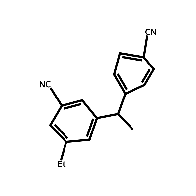 CCc1cc(C#N)cc(C(C)c2ccc(C#N)cc2)c1